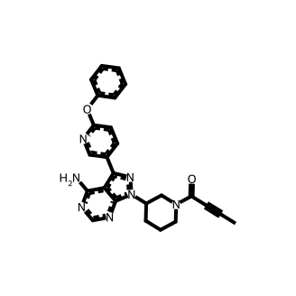 CC#CC(=O)N1CCCC(n2nc(-c3ccc(Oc4ccccc4)nc3)c3c(N)ncnc32)C1